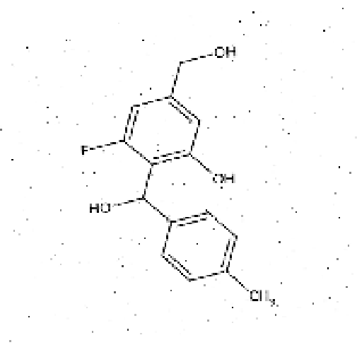 Cc1ccc(C(O)c2c(O)cc(CO)cc2F)cc1